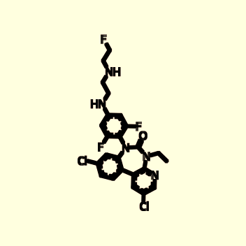 CCN1C(=O)N(c2c(F)cc(NCCNCCF)cc2F)c2cc(Cl)ccc2-c2cc(Cl)cnc21